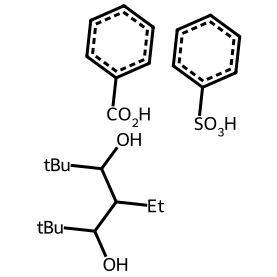 CCC(C(O)C(C)(C)C)C(O)C(C)(C)C.O=C(O)c1ccccc1.O=S(=O)(O)c1ccccc1